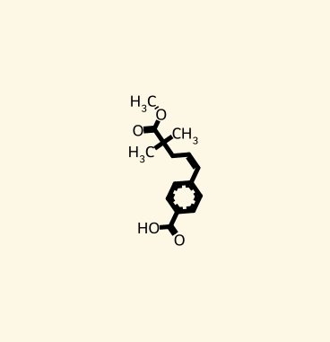 COC(=O)C(C)(C)C/C=C\c1ccc(C(=O)O)cc1